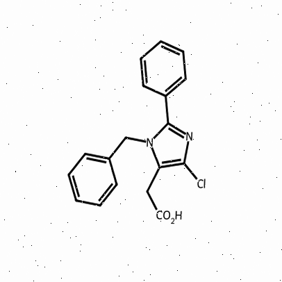 O=C(O)Cc1c(Cl)nc(-c2ccccc2)n1Cc1ccccc1